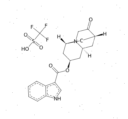 O=C(O[C@@H]1C[C@@H]2C[C@@H]3C[C@H](C1)N2CC3=O)c1c[nH]c2ccccc12.O=S(=O)(O)C(F)(F)F